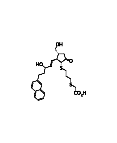 O=C(O)CSCCCS[C@H]1C(=O)C[C@@H](CO)[C@@H]1/C=C/C(O)CCc1ccc2ccccc2c1